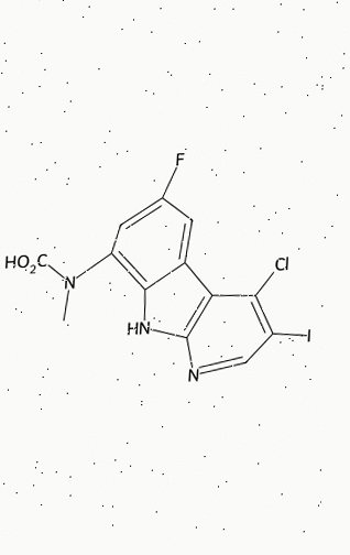 CN(C(=O)O)c1cc(F)cc2c1[nH]c1ncc(I)c(Cl)c12